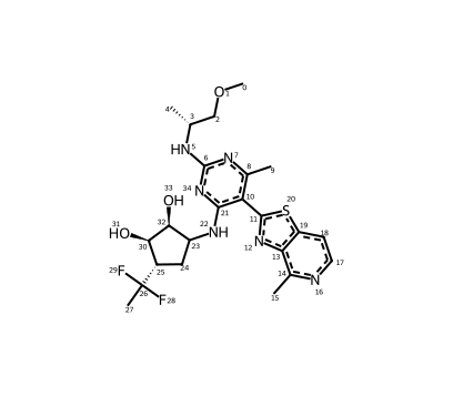 COC[C@@H](C)Nc1nc(C)c(-c2nc3c(C)nccc3s2)c(NC2C[C@H](C(C)(F)F)[C@@H](O)[C@H]2O)n1